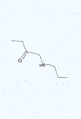 CCCNCC(=O)CC